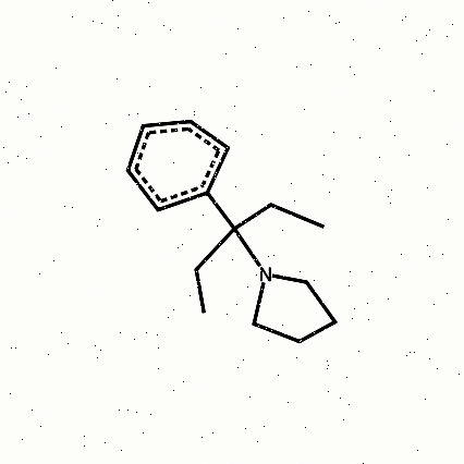 CCC(CC)(c1ccccc1)N1CCCC1